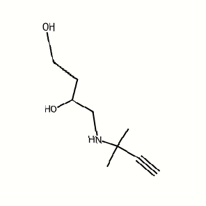 C#CC(C)(C)NCC(O)CCO